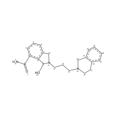 NC(=O)c1cccc2c1C(O)N(CCCN1CCc3ccccc3C1)C2